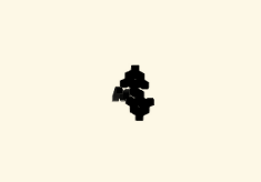 CC(=O)C(=Cc1c(C)cc(C)cc1C)c1c(C)cc(C)cc1C